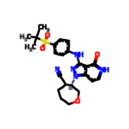 CC(C)(C)S(=O)(=O)c1ccc(Nc2nn([C@@H]3COCCCC3C#N)c3cc[nH]c(=O)c23)cc1